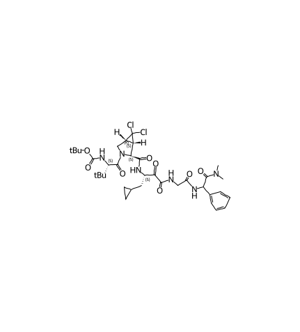 CN(C)C(=O)C(NC(=O)CNC(=O)C(=O)[C@H](CC1CC1)NC(=O)[C@@H]1[C@@H]2[C@H](CN1C(=O)[C@@H](NC(=O)OC(C)(C)C)C(C)(C)C)C2(Cl)Cl)c1ccccc1